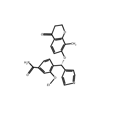 CCOc1cc(C(N)=O)ccc1[C@H](Oc1ccc2c(c1C)OCCC2=O)c1ccncc1